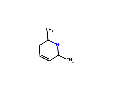 CC1C=CCC(C)[N]1